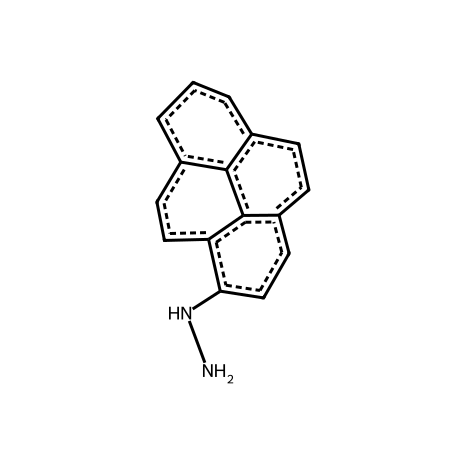 NNc1ccc2ccc3cccc4ccc1c2c34